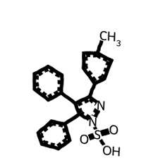 Cc1ccc(-c2nn(S(=O)(=O)O)c(-c3ccccc3)c2-c2ccccc2)cc1